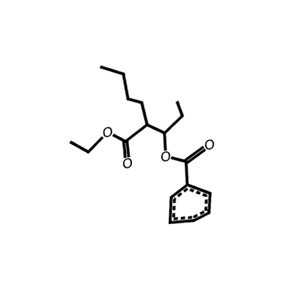 CCCCC(C(=O)OCC)C(CC)OC(=O)c1ccccc1